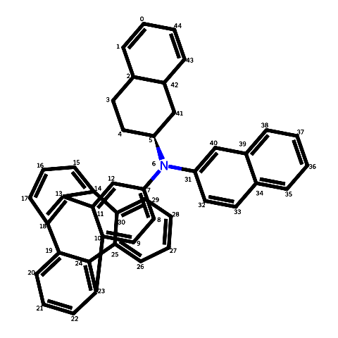 C1=CC2CC[C@H](N(c3ccc4c(c3)-c3c5cccc3-c3cccc-4c3-c3ccccc3-5)c3ccc4ccccc4c3)CC2C=C1